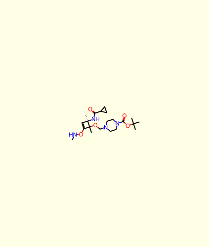 CNOC1=C[C@@](C)(NC(=O)C2CC2)C1(C)OCN1CCN(C(=O)OC(C)(C)C)CC1